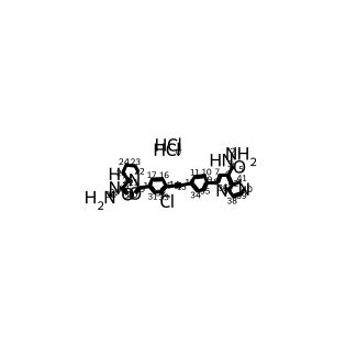 Cl.Cl.NNC(=O)c1cc(-c2ccc(C#Cc3ccc(C(=O)N4CCCCC4C(=O)NN)cc3Cl)cc2)nc2ccncc12